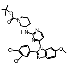 COc1ccc2nc(-c3ccc(Cl)c(Cl)c3)n(-c3ccnc(N[C@H]4CCCN(C(=O)OC(C)(C)C)C4)n3)c2c1